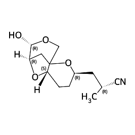 C[C@@H](C#N)C[C@H]1CC[C@@H]2O[C@@H]3CC2(CO[C@H]3O)O1